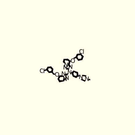 CN1CCN(c2ccc(N(c3nc4c(OCc5cccc(Cl)c5)cccn4n3)c3nc4c(OCc5cccc(Cl)c5)cccn4n3)cc2)CC1